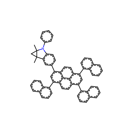 CC12CC1(C)N(c1ccccc1)c1ccc(-c3cc(-c4cccc5ccccc45)c4ccc5c(-c6cccc7ccccc67)cc(-c6cccc7ccccc67)c6ccc3c4c65)cc12